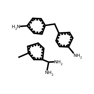 Cc1cccc(C(N)N)c1.Nc1ccc(Cc2ccc(N)cc2)cc1